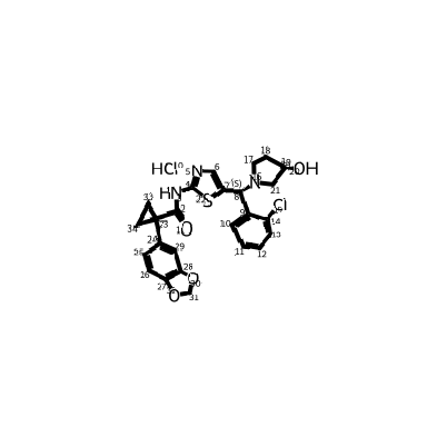 Cl.O=C(Nc1ncc([C@H](c2ccccc2Cl)N2CC[C@@H](O)C2)s1)C1(c2ccc3c(c2)OCO3)CC1